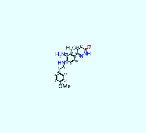 COc1ccc(CCNc2ccc(C3=NNC(=O)CC3C)cc2N)cc1